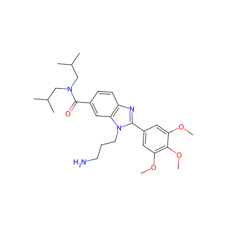 COc1cc(-c2nc3ccc(C(=O)N(CC(C)C)CC(C)C)cc3n2CCCN)cc(OC)c1OC